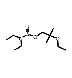 CCOC(C)(C)COS(=O)N(CC)CC